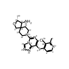 Cc1nccc(Sc2cnc(N3CCC4(CC3)CO[C@H](C)[C@H]4N)n3cnnc23)c1Cl